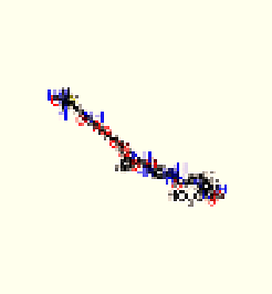 CC1(C)CC(=O)C(=C(CCOCCOCCOCCOCCNC(=O)CCCC[C@@H]2SC[C@@H]3NC(=O)N[C@@H]32)NCCCC(=O)Nc2ccc(-n3nnc(C(=O)NCc4ccn(-c5cc6c(cc5C(F)(F)F)[nH]c(=O)c(=O)n6CC(=O)O)c4)n3)cc2)C(=O)C1